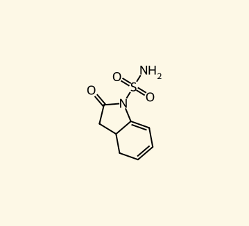 NS(=O)(=O)N1C(=O)CC2CC=CC=C21